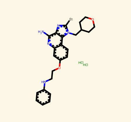 CCc1nc2c(N)nc3cc(OCCNc4ccccc4)ccc3c2n1CC1CCOCC1.Cl.Cl